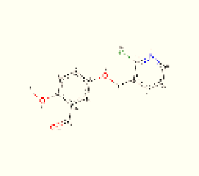 COc1ccc(OCc2cccnc2Br)cc1C=O